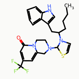 CCCCC(Cc1c[nH]c2ccccc12)N1C=CSC1N1CCn2c(cc(C(F)(F)F)cc2=O)C1